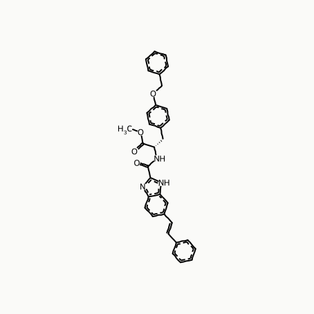 COC(=O)[C@H](Cc1ccc(OCc2ccccc2)cc1)NC(=O)c1nc2ccc(C=Cc3ccccc3)cc2[nH]1